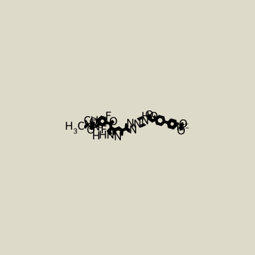 CCN(C)S(=O)(=O)Nc1ccc(F)c(C(=O)c2c[nH]c3ncc(-c4cnc(N5CCN(C(=O)CC6(O)CCC(c7ccc([N+](=O)[O-])cc7)CC6)CC5)nc4)cc23)c1F